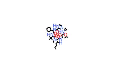 CCCCC(C)[C@@H](C(=O)N[C@@H](CCC)C(=O)C(=O)NC1CC1)N(CC)C(=O)[C@@H](NC(=O)[C@@H](NC(=O)c1cnccn1)C1CCCCC1)C(C)(C)C